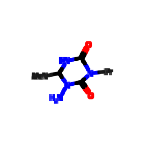 CNC1NC(=O)N(C(C)C)C(=O)N1N